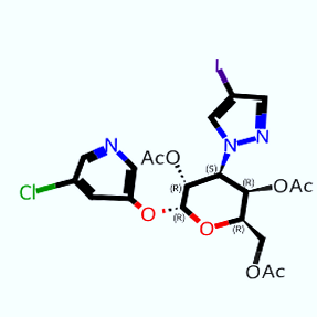 CC(=O)OC[C@H]1O[C@H](Oc2cncc(Cl)c2)[C@H](OC(C)=O)[C@@H](n2cc(I)cn2)[C@H]1OC(C)=O